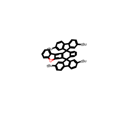 CC(C)(C)c1ccc2c(c1)C1(c3cc(C(C)(C)C)ccc3-2)c2ccccc2C2(c3cc(C(C)(C)C)ccc3-c3ccc(C(C)(C)C)cc32)c2cc3c(cc21)oc1ccccc13